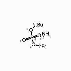 CCCOS(=O)(=O)OC(C)(C)C.N